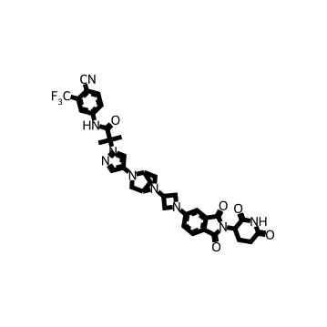 CC(C)(C(=O)Nc1ccc(C#N)c(C(F)(F)F)c1)n1cc(N2CC3CC2CN3C2CN(c3ccc4c(c3)C(=O)N(C3CCC(=O)NC3=O)C4=O)C2)cn1